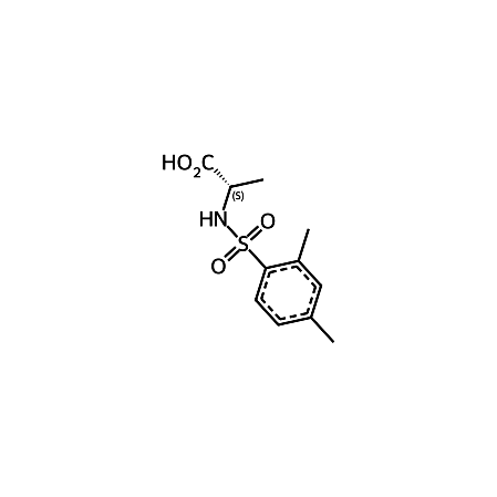 Cc1ccc(S(=O)(=O)N[C@@H](C)C(=O)O)c(C)c1